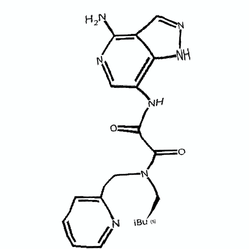 CC[C@H](C)CN(Cc1ccccn1)C(=O)C(=O)Nc1cnc(N)c2cn[nH]c12